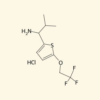 CC(C)C(N)c1ccc(OCC(F)(F)F)s1.Cl